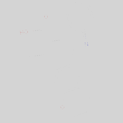 CCCC(C(=O)O)c1c(-c2ccc3c(c2)CCCO3)n(C)c2ccccc12